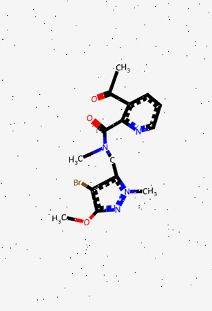 COc1nn(C)c(CN(C)C(=O)c2ncccc2C(C)=O)c1Br